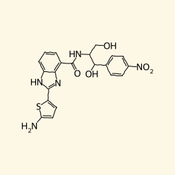 Nc1ccc(-c2nc3c(C(=O)NC(CO)C(O)c4ccc([N+](=O)[O-])cc4)cccc3[nH]2)s1